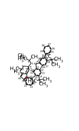 CC(C)C[C](CC(C)C)=[Zr+2]([c]1c2c(cc(C(C)(C)C)c1-c1ccccc1)-c1cc(C(C)(C)C)c(-c3ccccc3)cc1C2)[CH]1C=CC=C1.[Cl-].[Cl-]